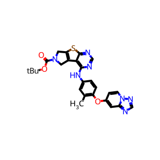 Cc1cc(Nc2ncnc3sc4c(c23)CN(C(=O)OC(C)(C)C)C4)ccc1Oc1ccn2ncnc2c1